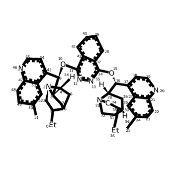 CCC1C[N@@]2CCC1C[C@H]2[C@H](Oc1nnc(O[C@H](c2ccnc3ccc(C)cc23)[C@@H]2C[C@H]3CCN2CC3CC)c2ccccc12)c1ccnc2ccc(C)cc12